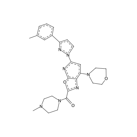 Cc1cccc(-c2ccn(-c3cc(N4CCOCC4)c4nc(C(=O)N5CCN(C)CC5)oc4n3)n2)c1